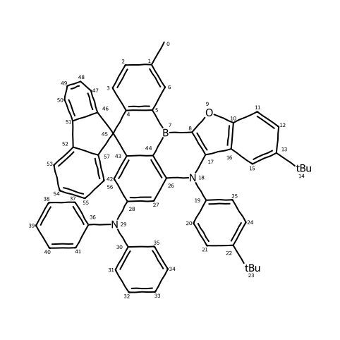 Cc1ccc2c(c1)B1c3oc4ccc(C(C)(C)C)cc4c3N(c3ccc(C(C)(C)C)cc3)c3cc(N(c4ccccc4)c4ccccc4)cc(c31)C21c2ccccc2-c2ccccc21